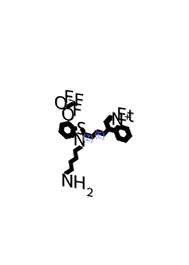 CC[n+]1ccc(/C=C/C=C2\Sc3ccccc3N2CCCCCCN)c2ccccc21.O=C([O-])C(F)(F)F